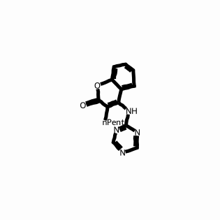 CCCCCc1c(Nc2ncncn2)c2ccccc2oc1=O